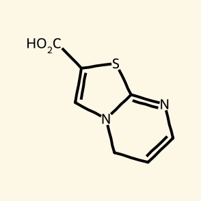 O=C(O)C1=CN2CC=CN=C2S1